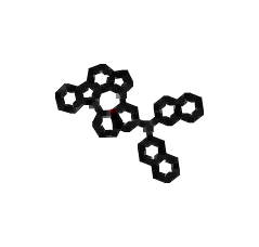 c1ccc(-n2c3ccccc3c3ccc4ccn(-c5cccc(N(c6ccc7ccccc7c6)c6ccc7ccccc7c6)c5)c4c32)cc1